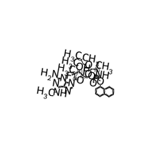 CNc1nc(N)nc2c1ncn2[C@@H]1O[C@](F)(CO[P@](=O)(N[C@H](C)C(=O)OCC(C)(C)C)Oc2cccc3ccccc23)[C@@H](O)[C@@]1(C)F